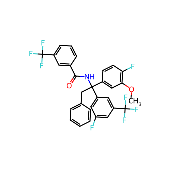 COc1cc(C(Cc2ccccc2)(NC(=O)c2cccc(C(F)(F)F)c2)c2cc(F)cc(C(F)(F)F)c2)ccc1F